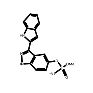 COP(=O)(Oc1ccc2[nH]nc(-c3cc4ccccc4[nH]3)c2c1)C(C)(C)C